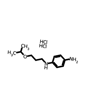 CC(C)OCCCNc1ccc(N)cc1.Cl.Cl